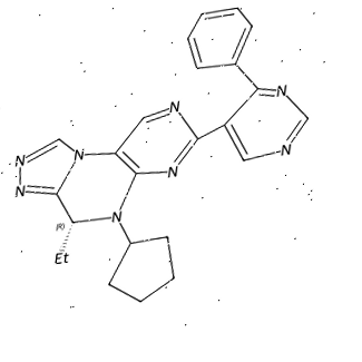 CC[C@@H]1c2nncn2-c2cnc(-c3cncnc3-c3ccccc3)nc2N1C1CCCC1